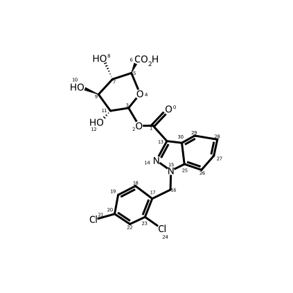 O=C(OC1O[C@H](C(=O)O)[C@@H](O)[C@H](O)[C@H]1O)c1nn(Cc2ccc(Cl)cc2Cl)c2ccccc12